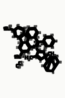 CC1=CC(C)(C23CC4CC(CC(C4)C2)C3)C=[C]1[Zr+2](=[C](c1ccccc1)c1ccccc1)[c]1cc(C(C)(C)C)cc2c1Cc1ccc(C(C)(C)C)cc1-2.[Cl-].[Cl-]